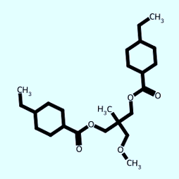 CCC1CCC(C(=O)OCC(C)(COC)COC(=O)C2CCC(CC)CC2)CC1